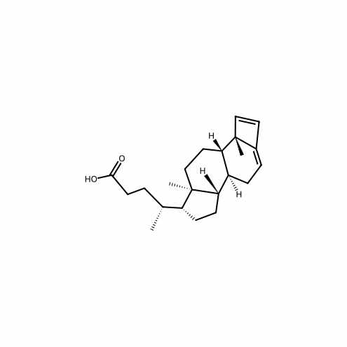 C[C@H](CCC(=O)O)[C@H]1CC[C@H]2[C@@H]3CC=C4C=C[C@@]4(C)[C@H]3CC[C@]12C